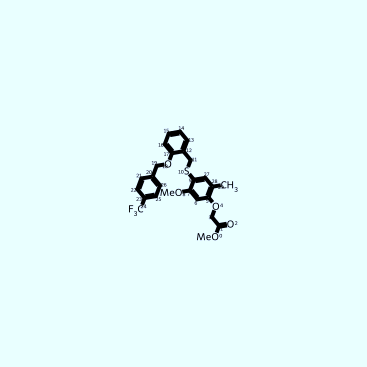 COC(=O)COc1cc(OC)c(SCc2ccccc2OCc2ccc(C(F)(F)F)cc2)cc1C